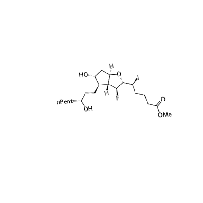 CCCCC[C@H](O)CC[C@@H]1[C@H]2[C@H](F)[C@@H]([C@@H](I)CCCC(=O)OC)O[C@@H]2C[C@H]1O